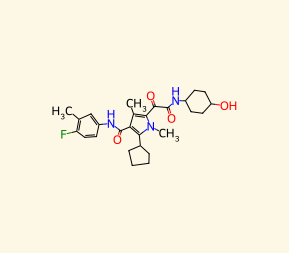 Cc1cc(NC(=O)c2c(C)c(C(=O)C(=O)NC3CCC(O)CC3)n(C)c2C2CCCC2)ccc1F